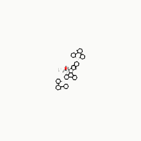 C[Si](C)(C)C1([Si](C)(C)C)c2cc3cc(N(c4ccccc4)c4cccc5oc6ccccc6c45)ccc3cc2-c2c1c1ccc(N(c3ccccc3)c3cccc4oc5ccccc5c34)cc1c1ccccc21